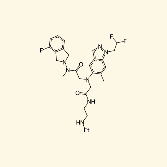 CCNCCNC(=O)CN(CC(=O)N(C)N1Cc2cccc(F)c2C1)c1cc2cnn(CC(F)F)c2cc1C